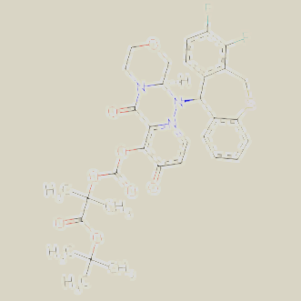 CC(C)(C)OC(=O)C(C)(C)OC(=O)Oc1c2n(ccc1=O)N([C@@H]1c3ccccc3SCc3c1ccc(F)c3F)[C@@H]1COCCN1C2=O